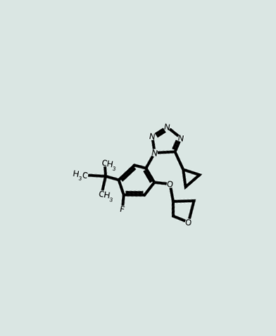 CC(C)(C)c1cc(-n2nnnc2C2CC2)c(OC2COC2)cc1F